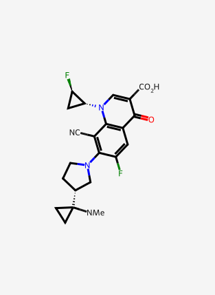 CNC1([C@@H]2CCN(c3c(F)cc4c(=O)c(C(=O)O)cn([C@@H]5C[C@H]5F)c4c3C#N)C2)CC1